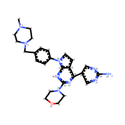 CN1CCN(Cc2ccc(-n3ccc4c(-c5cnc(N)nc5)nc(N5CCOCC5)nc43)cc2)CC1